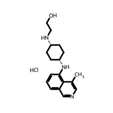 Cc1cncc2cccc(N[C@H]3CC[C@@H](NCCO)CC3)c12.Cl